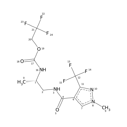 C[C@@H](CNC(=O)c1cn(C)nc1C(F)(F)F)NC(=O)OCC(F)(F)F